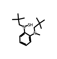 CN(CC(C)(C)C)c1ccccc1N(S)CC(C)(C)C